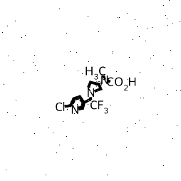 CN(C(=O)O)[C@H]1CCN(C(c2ccc(Cl)nc2)C(F)(F)F)C1